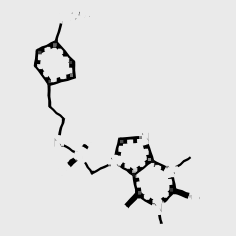 COc1ccc(CCNS(=O)(=O)Cn2cnc3c2c(=O)n(C)c(=O)n3C)cc1